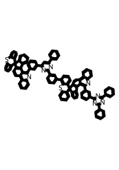 c1ccc(-c2cc(-c3cccc(-c4nc5ccccc5c5ccc6c(c45)-c4ccccc4C64c5ccccc5Sc5ccccc54)c3)nc(-c3cccc(-c4cccc5c4Sc4ccccc4C54c5ccccc5-c5c4ccc4c5c(-c5cccc(-c6nc(-c7ccccc7)nc(-c7ccccc7)n6)c5)nc5ccccc54)c3)n2)cc1